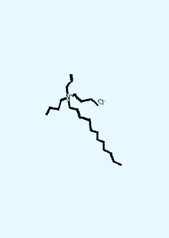 C=CC[N+](CCCC)(CCCC)CCCCCCCCCCCC.[Cl-]